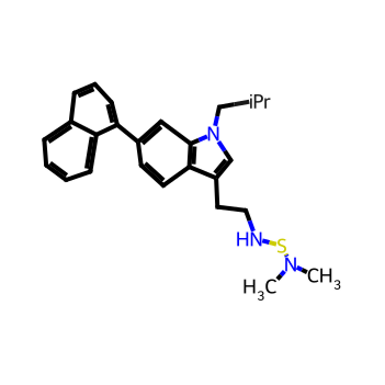 CC(C)Cn1cc(CCNSN(C)C)c2ccc(-c3cccc4ccccc34)cc21